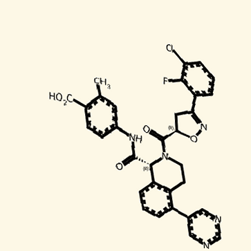 Cc1cc(NC(=O)[C@H]2c3cccc(-c4cncnc4)c3CCN2C(=O)[C@H]2CC(c3cccc(Cl)c3F)=NO2)ccc1C(=O)O